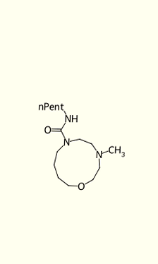 CCCCCNC(=O)N1CCCCOCCN(C)CC1